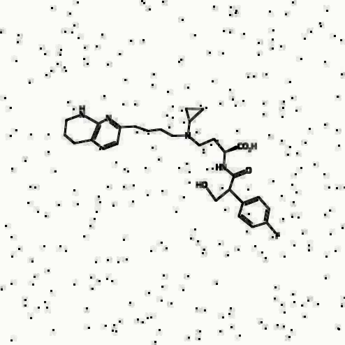 O=C(N[C@@H](CCN(CCCCc1ccc2c(n1)NCCC2)C1CC1)C(=O)O)C(CO)c1ccc(F)cc1